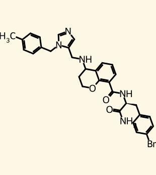 Cc1ccc(Cn2cncc2CNC2CCOc3c(C(=O)N[C@@H](Cc4ccc(Br)cc4)C(N)=O)cccc32)cc1